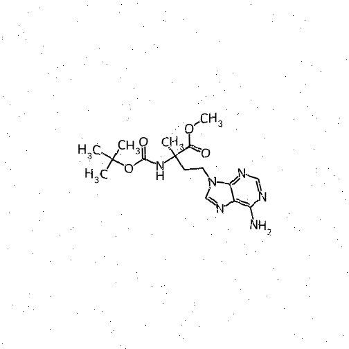 COC(=O)C(C)(CCn1cnc2c(N)ncnc21)NC(=O)OC(C)(C)C